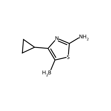 Bc1sc(N)nc1C1CC1